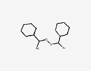 CC(=O)C(OOC(C(C)=O)C1CCCCC1)C1CCCCC1